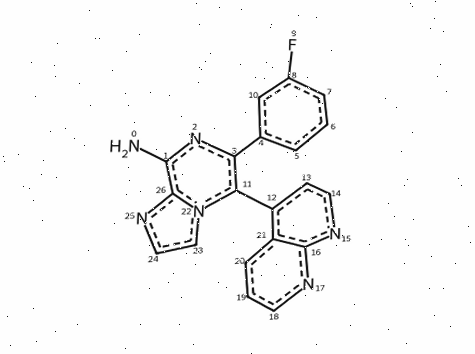 Nc1nc(-c2cccc(F)c2)c(-c2ccnc3ncccc23)n2ccnc12